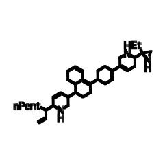 C=CC(CCCCC)C1C=CC(C2CCC(C3CC=C(C4=CCC(C5(CC)CN5)NC4)CC3)=C3C=CCCC32)CN1